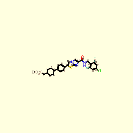 CCOC(=O)CC1CCC(c2ccc(-c3cn4cc(C(=O)NCc5c(F)cc(Cl)cc5F)nc4s3)cc2)CC1